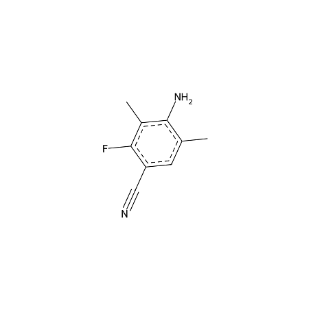 Cc1cc(C#N)c(F)c(C)c1N